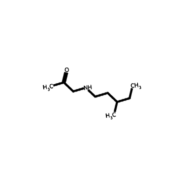 CCC(C)CCNCC(C)=O